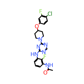 CC(=O)Nc1cccc(Nc2ncnc(N3CCC(Oc4ccc(Cl)c(F)c4)CC3)n2)c1F